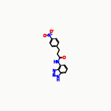 O=C(CCc1ccc([N+](=O)[O-])cc1)Nc1cccc2[nH]nnc12